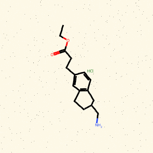 CCOC(=O)CCc1ccc2c(c1)CCC(CN)C2.Cl